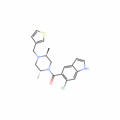 C[C@@H]1CN(Cc2ccsc2)[C@@H](C)CN1C(=O)c1cc2cc[nH]c2cc1Cl